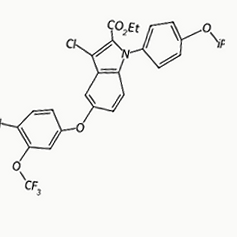 CCOC(=O)c1c(Cl)c2cc(Oc3ccc(Cl)c(OC(F)(F)F)c3)ccc2n1-c1ccc(OC(C)C)cc1